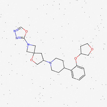 c1ccc(C2CCN(C3COC4(C3)CN(c3nnco3)C4)CC2)c(OC2CCOC2)c1